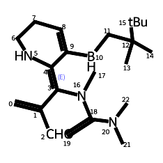 C=C(C=O)/C(=C1\NCCC=C1BCC(C)(C)C(C)(C)C)N(C)C(=C)N(C)C